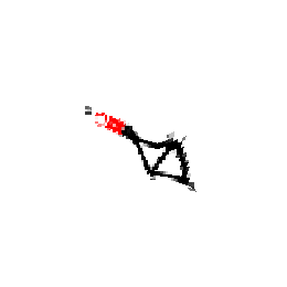 O=C1[C]2CC21